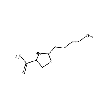 CCCCCC1NC(C(N)=O)CS1